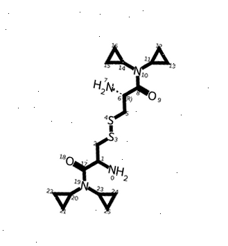 NC(CSSC[C@H](N)C(=O)N(C1CC1)C1CC1)C(=O)N(C1CC1)C1CC1